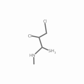 CNC([SiH3])C(Cl)CCl